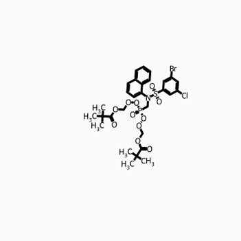 CC(C)(C)C(=O)OCOOP(=O)(CN(c1cccc2ccccc12)S(=O)(=O)c1cc(Cl)cc(Br)c1)OOCOC(=O)C(C)(C)C